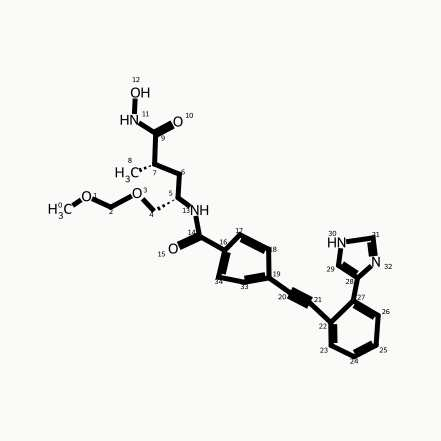 COCOC[C@H](C[C@H](C)C(=O)NO)NC(=O)c1ccc(C#Cc2ccccc2-c2c[nH]cn2)cc1